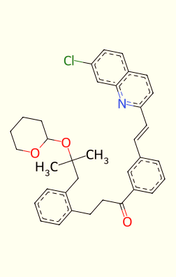 CC(C)(Cc1ccccc1CCC(=O)c1cccc(C=Cc2ccc3ccc(Cl)cc3n2)c1)OC1CCCCO1